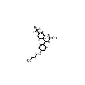 CCCCOc1ccc(C(CC(=O)O)c2ccc(C(F)(F)F)cc2)cc1